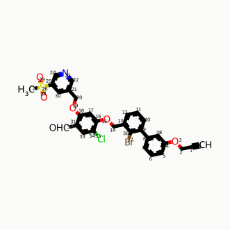 C#CCOc1cccc(-c2cccc(COc3cc(OCc4cncc(S(C)(=O)=O)c4)c(C=O)cc3Cl)c2Br)c1